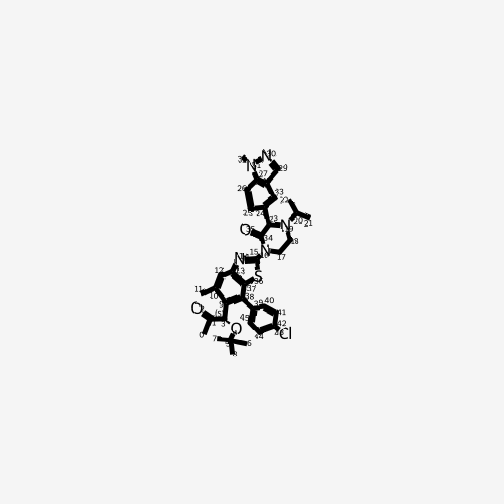 CC(=O)[C@@H](OC(C)(C)C)c1c(C)cc2nc(N3CCN(C(C)C)C(c4ccc5c(cnn5C)c4)C3=O)sc2c1-c1ccc(Cl)cc1